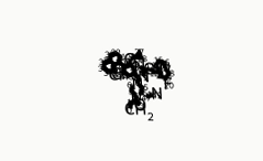 C=CC(=O)N1CCN(c2nc(OCC34CCCN3C[C@H](F)C4)nc3c(OC4CC4)c(-c4cccc5cccc(Cl)c45)c(Cl)cc23)C[C@@H]1CC#N